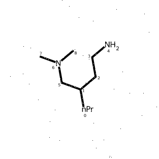 CCCC(CCN)CN(C)C